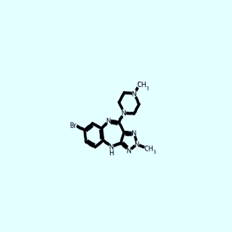 CN1CCN(C2=Nc3cc(Br)ccc3Nc3nn(C)nc32)CC1